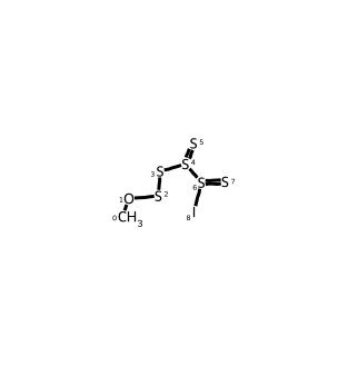 COSSS(=S)S(=S)I